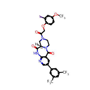 O=C1Nc2ncc(-c3cc(C(F)(F)F)cc(C(F)(F)F)c3)cc2C(=O)N2CCN(C(=O)COc3ccc(OC(F)(F)F)cc3I)C[C@@H]12